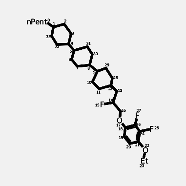 CCCCCC1CCC(C2CCC(C3CCC(CC(F)COc4ccc(OCC)c(F)c4F)CC3)CC2)CC1